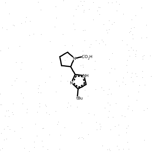 CC(C)(C)c1c[nH]c(C2CCCN2C(=O)O)n1